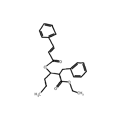 CCCC(OC(=O)C=Cc1ccccc1)C(Cc1ccccc1)C(=O)OCC